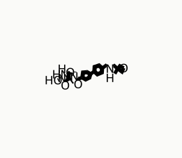 CNC(=O)[C@@](C)(C(=O)NO)N(C)C(=O)c1ccc(-c2ccc(CNCC3(C)COC3)cc2)cc1